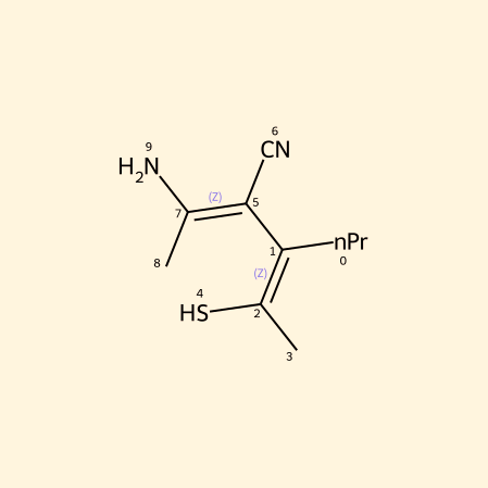 CCCC(=C(\C)S)/C(C#N)=C(\C)N